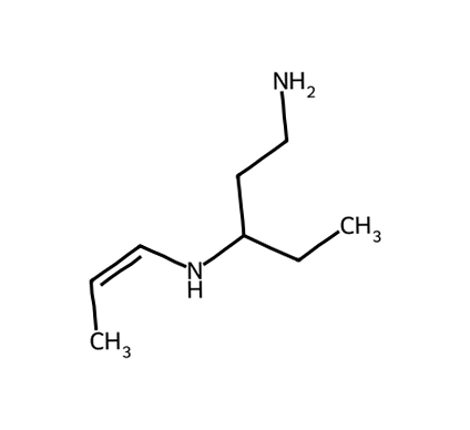 C/C=C\NC(CC)CCN